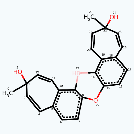 CC1(O)C=Cc2ccc3c(c2C=C1)Bc1c(ccc2c1C=CC(C)(O)C=C2)O3